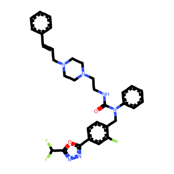 O=C(NCCN1CCN(CC=Cc2ccccc2)CC1)N(Cc1ccc(-c2nnc(C(F)F)o2)cc1F)c1ccccc1